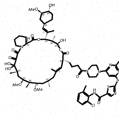 CO[C@H]1C[C@@H](C)C/C(C)=C/[C@@H](CCCC(=O)N2CCN(c3cc(Nc4ncc(C(=O)Nc5c(C)cccc5Cl)s4)nc(C)n3)CC2)C(=O)C[C@H](O)[C@@H](C)[C@@H](/C(C)=C/[C@@H]2CC[C@@H](O)[C@H](OC)C2)OC(=O)[C@@H]2CCCCN2C(=O)C(=O)C(O)(O)[C@H](C)C[C@H](OC)[C@@H]1C